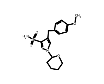 COc1ccc(Cc2cn(C3CCCCO3)nc2S(N)(=O)=O)cc1